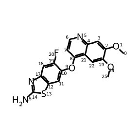 COc1cc2nccc(Oc3cc4sc(N)nc4cc3F)c2cc1OC